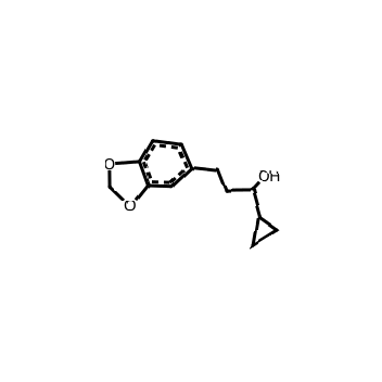 OC(CCc1ccc2c(c1)OCO2)C1CC1